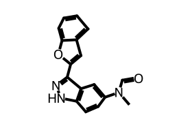 CN(C=O)c1ccc2[nH]nc(-c3cc4ccccc4o3)c2c1